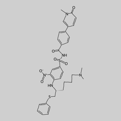 CN(C)CCCC[C@H](CSc1ccccc1)Nc1ccc(S(=O)(=O)NC(=O)c2ccc(-c3ccc(=O)n(C)c3)cc2)cc1[N+](=O)[O-]